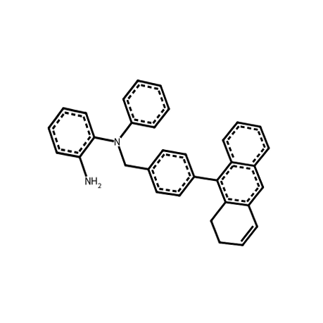 Nc1ccccc1N(Cc1ccc(-c2c3c(cc4ccccc24)C=CCC3)cc1)c1ccccc1